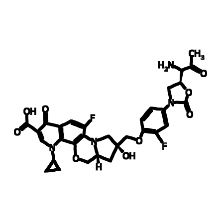 CC(=O)C(N)[C@@H]1CN(c2ccc(OC[C@]3(O)C[C@@H]4COc5c(c(F)cc6c(=O)c(C(=O)O)cn(C7CC7)c56)N4C3)c(F)c2)C(=O)O1